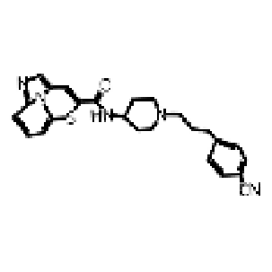 N#Cc1ccc(CCCN2CCC(NC(=O)C3=Cc4cnc5cccc(n45)S3)CC2)cc1